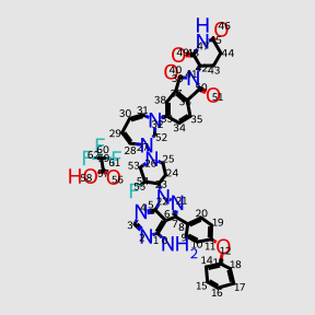 Nc1ncnc2c1c(-c1ccc(Oc3ccccc3)cc1)nn2C1CCN(N2C=CC=CN(c3ccc4c(c3)C(=O)N(C3CCC(=O)NC3=O)C4=O)C2)CC1F.O=C(O)C(F)(F)F